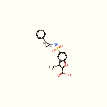 Cc1c(C(=O)O)oc2ccc(S(=O)(=O)N[C@@H]3C[C@H]3c3ccccc3)cc12